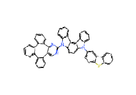 c1ccc2c(c1)-c1ccccc1-c1cnc(-n3c4ccccc4c4c5c6ccccc6n(-c6ccc7sc8ccccc8c7c6)c5ccc43)nc1-c1ccccc1-2